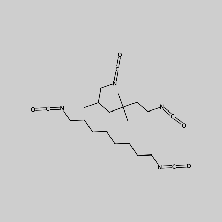 CC(CN=C=O)CC(C)(C)CCN=C=O.O=C=NCCCCCCCCN=C=O